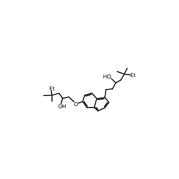 CCC(C)(C)CC(O)CCc1cccc2cc(OCC(O)CC(C)(C)CC)ccc12